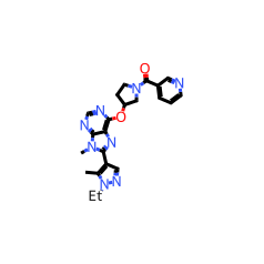 CCn1ncc(-c2nc3c(OC4CCN(C(=O)c5cccnc5)C4)ncnc3n2C)c1C